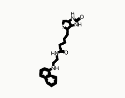 O=C(CCCCC1SCC2NC(=O)NC21)NCCNc1cccc2ccccc12